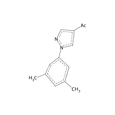 CC(=O)c1cnn(-c2cc(C)cc(C)c2)c1